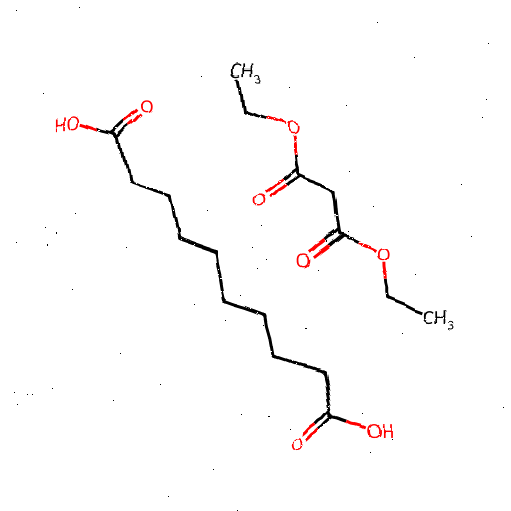 CCOC(=O)CC(=O)OCC.O=C(O)CCCCCCCCC(=O)O